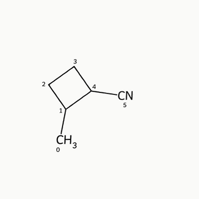 CC1CCC1C#N